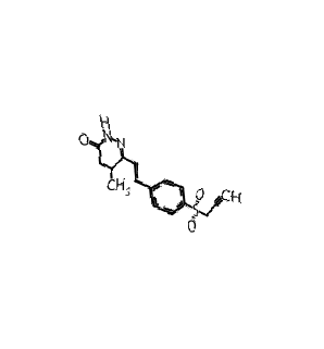 C#CCS(=O)(=O)c1ccc(C=CC2=NNC(=O)CC2C)cc1